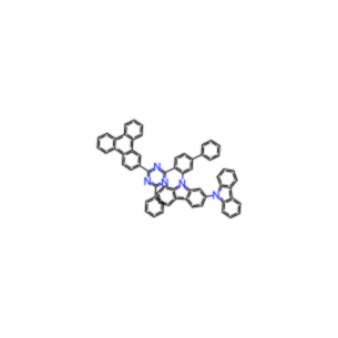 c1ccc(-c2ccc(-c3nc(-c4ccccc4)nc(-c4ccc5c6ccccc6c6ccccc6c5c4)n3)c(-n3c4ccccc4c4ccc(-n5c6ccccc6c6ccccc65)cc43)c2)cc1